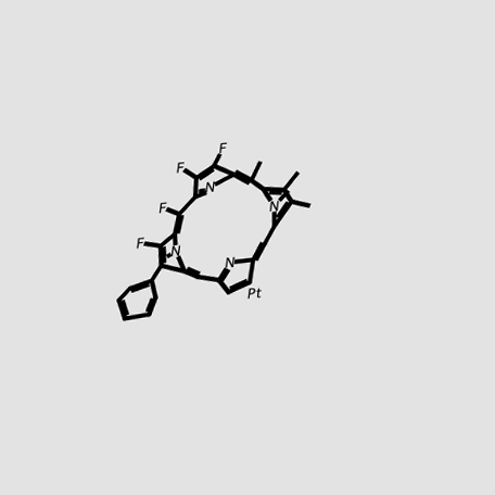 Cc1c(C)c2c(C)c3nc(c(F)c4c(F)c(-c5ccccc5)c(cc5nc(cc1n2C)C=C5)n4F)C(F)=C3F.[Pt]